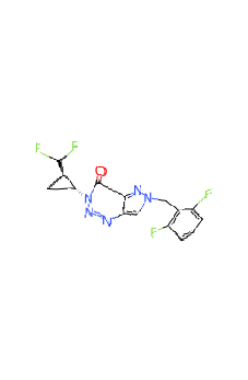 O=c1c2nn(Cc3c(F)cccc3F)cc2nnn1[C@@H]1C[C@H]1C(F)F